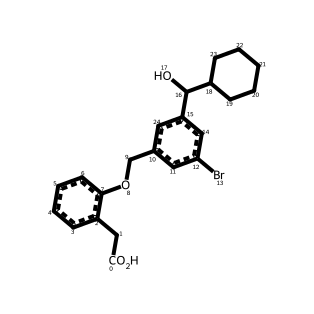 O=C(O)Cc1ccccc1OCc1cc(Br)cc(C(O)C2CCCCC2)c1